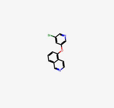 Brc1cncc(Oc2cccc3cnccc23)c1